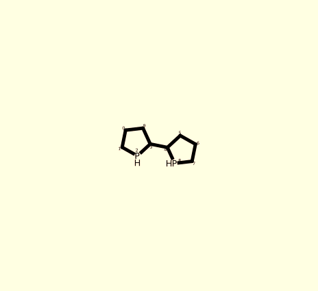 C1CPC(C2CCCP2)C1